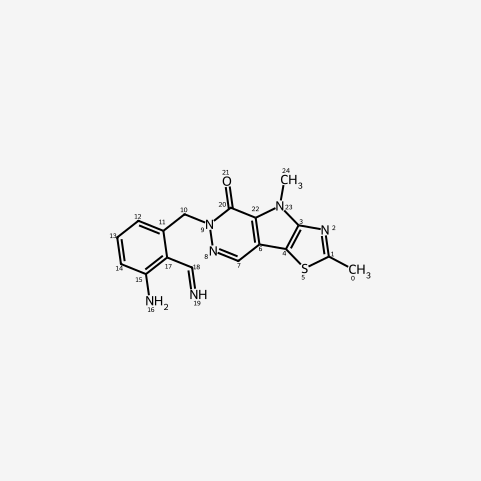 Cc1nc2c(s1)c1cnn(Cc3cccc(N)c3C=N)c(=O)c1n2C